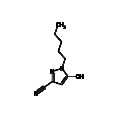 CCCCCn1nc(C#N)cc1O